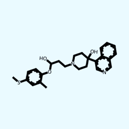 CSc1ccc(OC(O)CCN2CCC(O)(c3cncc4ccccc34)CC2)c(C)c1